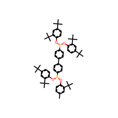 Cc1ccc(OP(Oc2ccc(C(C)(C)C)cc2C(C)(C)C)c2ccc(-c3ccc(P(Oc4ccc(C(C)(C)C)cc4C(C)(C)C)Oc4ccc(C(C)(C)C)cc4C(C)(C)C)cc3)cc2)c(C(C)(C)C)c1